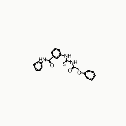 O=C(COc1ccccc1)NC(=S)Nc1cccc(C(=O)Nc2ccccc2)c1